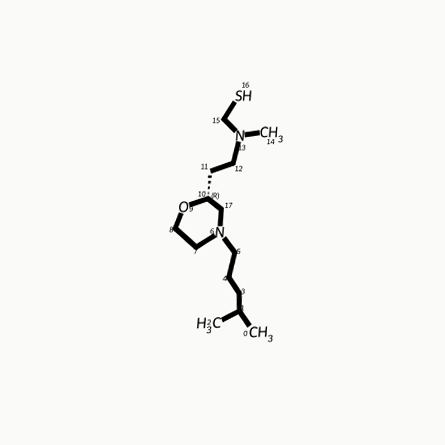 CC(C)CCCN1CCO[C@H](CCN(C)CS)C1